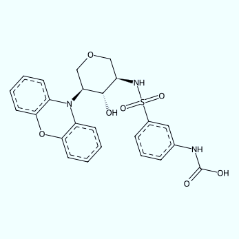 O=C(O)Nc1cccc(S(=O)(=O)N[C@@H]2COC[C@H](N3c4ccccc4Oc4ccccc43)[C@H]2O)c1